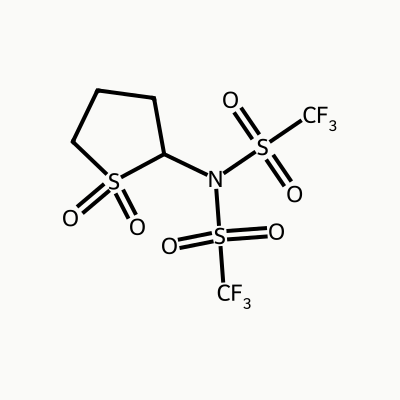 O=S1(=O)CCCC1N(S(=O)(=O)C(F)(F)F)S(=O)(=O)C(F)(F)F